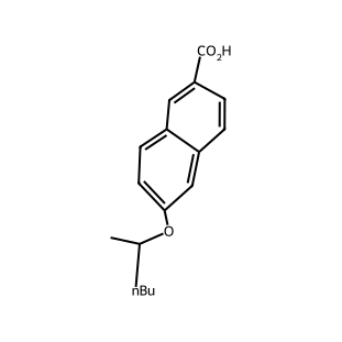 CCCCC(C)Oc1ccc2cc(C(=O)O)ccc2c1